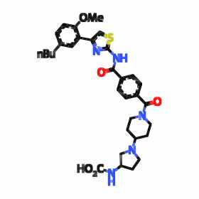 CCCCc1ccc(OC)c(-c2csc(NC(=O)c3ccc(C(=O)N4CCC(N5CCC(NC(=O)O)C5)CC4)cc3)n2)c1